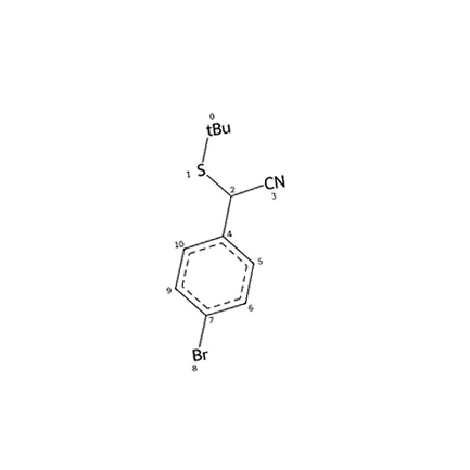 CC(C)(C)SC(C#N)c1ccc(Br)cc1